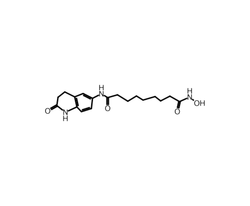 O=C(CCCCCCCC(=O)Nc1ccc2c(c1)CCC(=O)N2)NO